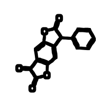 O=C1Oc2cc3c(cc2C1=O)OC(=O)C3c1ccccc1